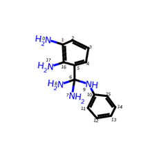 Nc1cccc(C(N)(N)Nc2ccccc2)c1N